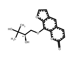 CC(C)(O)[C@H](O)COc1c2occc2cc2ccc(=O)oc12